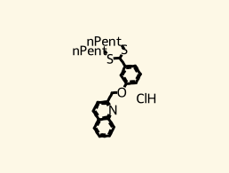 CCCCCSC(SCCCCC)c1cccc(OCc2ccc3ccccc3n2)c1.Cl